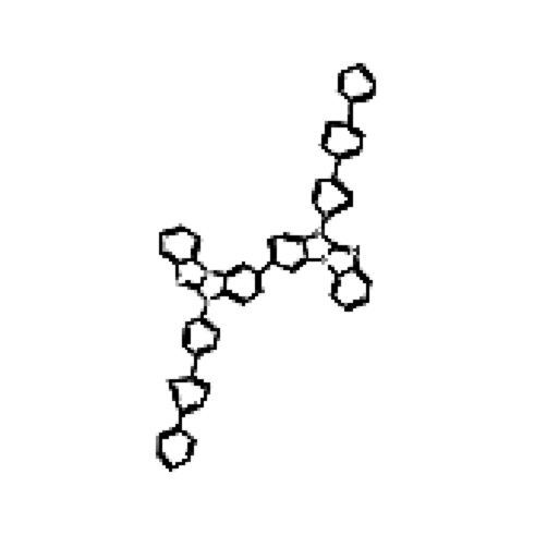 c1ccc(-c2ccc(-c3ccc(-n4c5ccc(-c6ccc7c(c6)n6c8ccccc8nc6n7-c6ccc(-c7ccc(-c8ccccc8)cc7)cc6)cc5n5c6ccccc6nc45)cc3)cc2)cc1